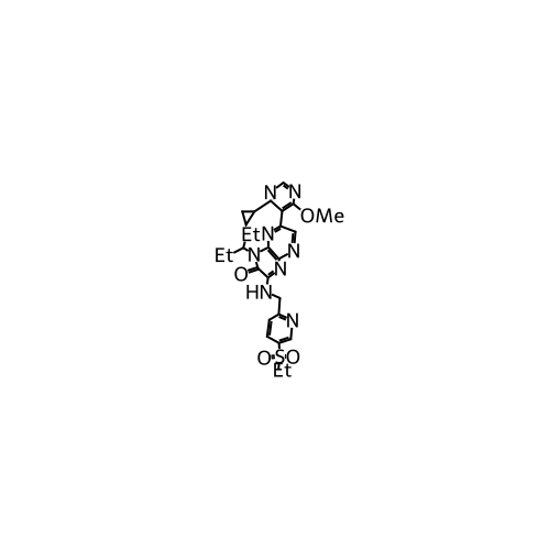 CCC(CC)n1c(=O)c(NCc2ccc(S(=O)(=O)CC)cn2)nc2ncc(-c3c(OC)ncnc3C3CC3)nc21